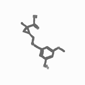 COc1cc(N)cc(OC[C@H]2C[C@]2(C)C(=O)O)c1